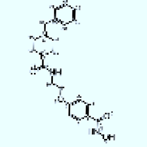 O=C(NO)c1ccc(OCCNC(=O)N2CCN(Cc3ccccc3)CC2)cc1